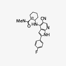 CNC(=O)[C@H]1CCCCC1Nc1c(C#N)cnc2[nH]c(-c3ccc(F)cc3)cc12